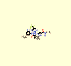 C=CC(=O)Nc1cc(C)ccc1Nc1nc(Nc2cc(C(=O)NC)nn2C)ncc1C(F)(F)F